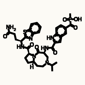 CC(C)N1CC[C@H]2CC[C@@H](C(=O)N[C@@H](CCC(N)=O)c3nc4ccccc4s3)N2C(=O)[C@@H](NC(=O)c2cc3cc(C(=O)P(C)(=O)O)ccc3[nH]2)C1